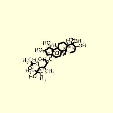 CC(=O)O[C@@H]([C@H](C)C[C@@H](C)[C@@H]1[C@H](O)[C@H](O)[C@@]2(C)[C@@H]3CC[C@H]4C(C)(C)[C@@H](O)CC[C@@]45C[C@@]35CC[C@]12C)C(C)(C)O